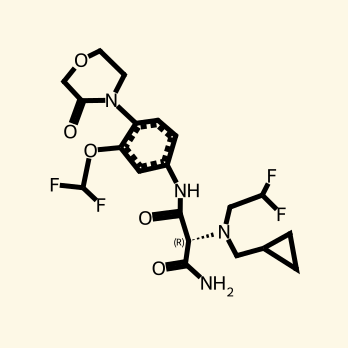 NC(=O)[C@H](C(=O)Nc1ccc(N2CCOCC2=O)c(OC(F)F)c1)N(CC(F)F)CC1CC1